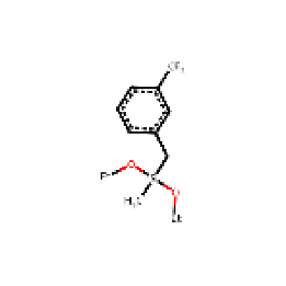 CCO[Si](C)(Cc1cccc(C(F)(F)F)c1)OCC